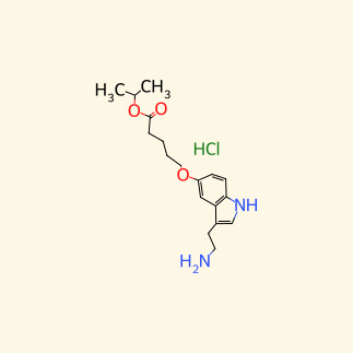 CC(C)OC(=O)CCCCOc1ccc2[nH]cc(CCN)c2c1.Cl